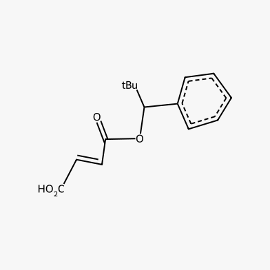 CC(C)(C)C(OC(=O)/C=C/C(=O)O)c1ccccc1